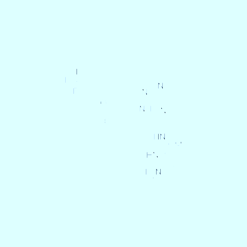 N=C(/C=C\N)C(=O)NCCn1ccc2ncnc(Nc3ccc(Oc4cccc(C(F)(F)F)c4)c(Cl)c3)c21